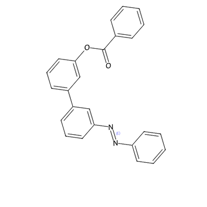 O=C(Oc1cccc(-c2cccc(/N=N/c3ccccc3)c2)c1)c1ccccc1